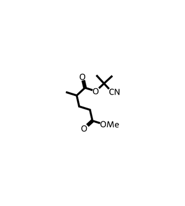 COC(=O)CCC(C)C(=O)OC(C)(C)C#N